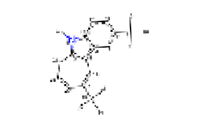 Cn1c2c(c3cc(C(C)(C)C)ccc31)C=C(C(C)(C)C)C=CC2